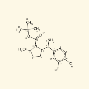 CC1CCC(C(N)c2ccc(Cl)c(F)c2)N1C(=O)OC(C)(C)C